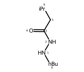 CCCCNNC(=O)CC(C)C